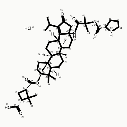 CC(C)C1=C2[C@H]3CC[C@@H]4[C@@]5(C)CC[C@H](OC(=O)[C@H]6C[C@@H](C(=O)O)C6(C)C)C(C)(C)[C@@H]5CC[C@@]4(C)[C@]3(C)CC[C@@]2(NC(=O)C(C)(C)NC(=O)[C@@H]2CCCN2)CC1=O.Cl